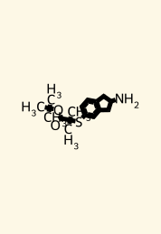 CC(C)(C)OC(=O)C(C)(C)Sc1ccc2c(c1)CC(N)C2